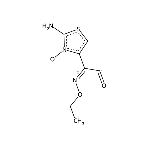 CCO/N=C(\[C]=O)c1csc(N)[n+]1[O-]